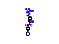 C/C(=N\NC(=N)N)c1ccc2[nH]c(C(=O)Nc3ccc(N4CCCCC4)cc3)cc2c1